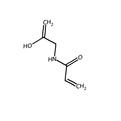 C=CC(=O)NCC(=C)O